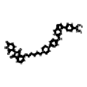 CN(C)c1ccc(-c2ccc3cnc(Nc4ccc(N5CCN(CCCCCOc6cccc7c6C(=O)N(C6CCC(=O)NC6=O)C7=O)CC5)nc4)nn23)cc1